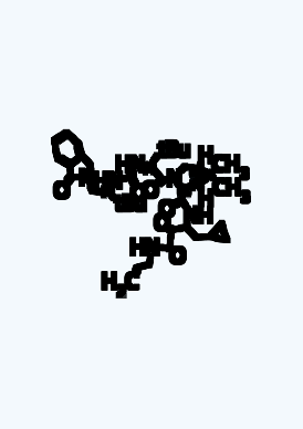 C=CCNC(=O)C(=O)C(CC1CC1)NC(=O)[C@@H]1[C@@H]2[C@H](CN1C(=O)[C@@H](NC(=O)N[C@H](CN1Cc3ccccc3C1=O)C(C)(C)C)C(C)(C)C)C2(C)C